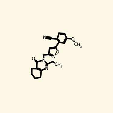 CCc1nc2c(c(=O)n1Cc1cc(-c3cc(OC)ccc3C#N)on1)CCCC2